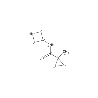 CC1(C(=O)NC2CNC2)CC1